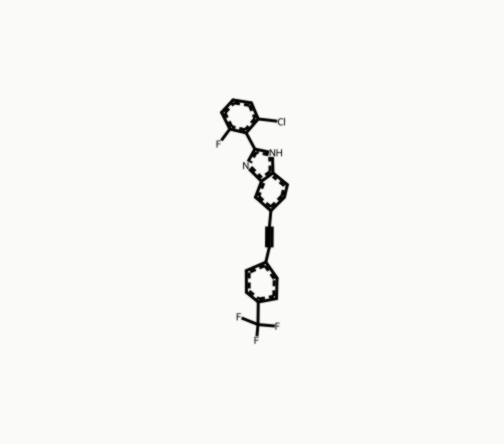 Fc1cccc(Cl)c1-c1nc2cc(C#Cc3ccc(C(F)(F)F)cc3)ccc2[nH]1